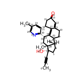 CC#C[C@]1(O)CC[C@H]2[C@@H]3CCC4=CC(=O)CCC4=C3[C@@H](c3ccc(C)cn3)C[C@@]21C